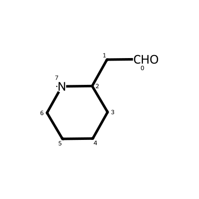 O=CCC1CCCC[N]1